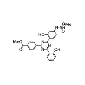 COC(=O)c1ccc(-c2nc(-c3ccccc3O)nc(-c3ccc(N=[SH](=O)OC)cc3O)n2)cc1